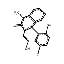 O=c1c(C=NO)c(-c2cc(Cl)ccc2O)c2ccccc2n1C(F)(F)F